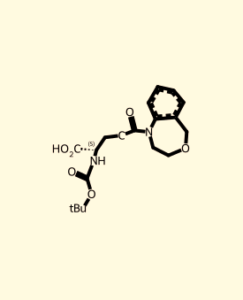 CC(C)(C)OC(=O)N[C@@H](CCC(=O)N1CCOCc2ccccc21)C(=O)O